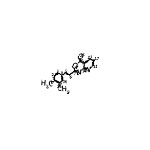 Cc1ccc(/C=C/c2nc3ncccc3c(=O)o2)cc1C